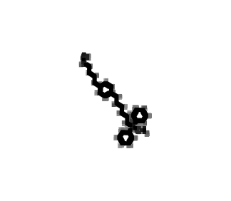 CC(=O)SCCCCc1ccc(CCCCCC[PH](C)(c2ccccc2)c2ccccc2)cc1